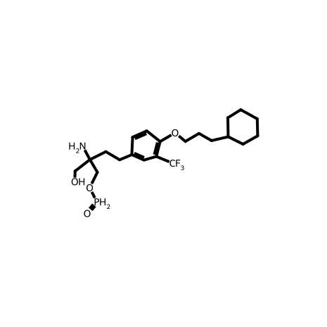 NC(CO)(CCc1ccc(OCCCC2CCCCC2)c(C(F)(F)F)c1)CO[PH2]=O